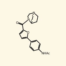 CC(=O)Nc1ccc(-c2ccc(C(=O)N3CCN4CCC3CC4)o2)cc1